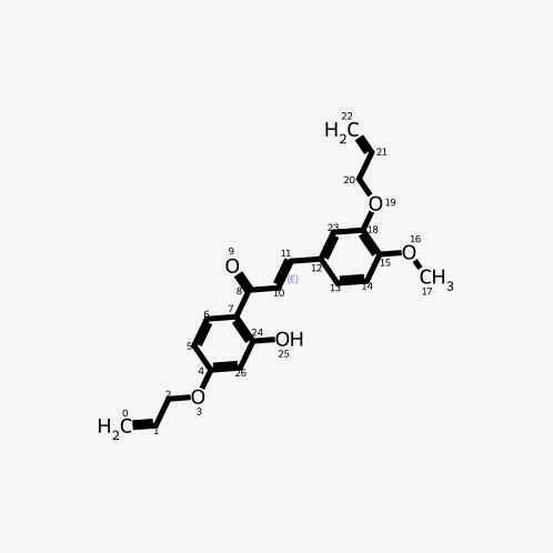 C=CCOc1ccc(C(=O)/C=C/c2ccc(OC)c(OCC=C)c2)c(O)c1